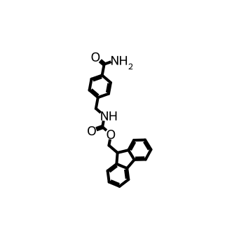 NC(=O)c1ccc(CNC(=O)OCC2c3ccccc3-c3ccccc32)cc1